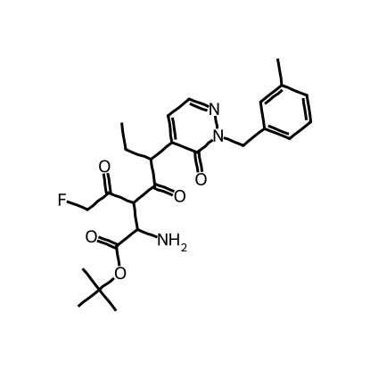 CCC(C(=O)C(C(=O)CF)C(N)C(=O)OC(C)(C)C)c1ccnn(Cc2cccc(C)c2)c1=O